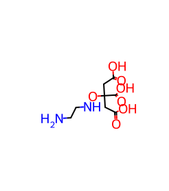 NCCNOC(CC(=O)O)(CC(=O)O)C(=O)O